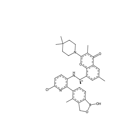 Cc1cc([C@@H](C)Nc2ccc(Cl)nc2-c2ccc3c(c2C)COB3O)c2oc(N3CCC(C)(C)CC3)c(C)c(=O)c2c1